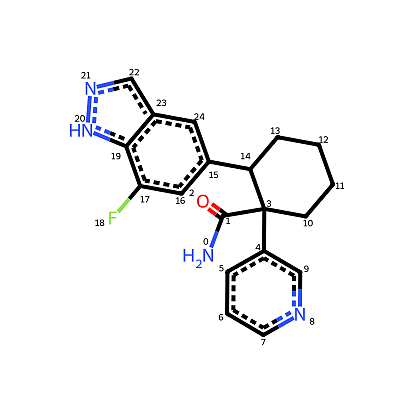 NC(=O)C1(c2cccnc2)CCCCC1c1cc(F)c2[nH]ncc2c1